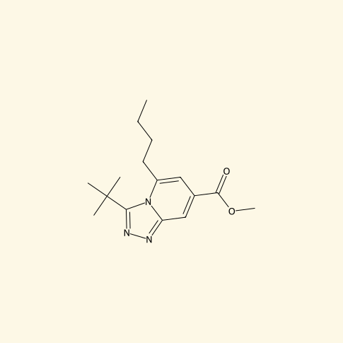 CCCCc1cc(C(=O)OC)cc2nnc(C(C)(C)C)n12